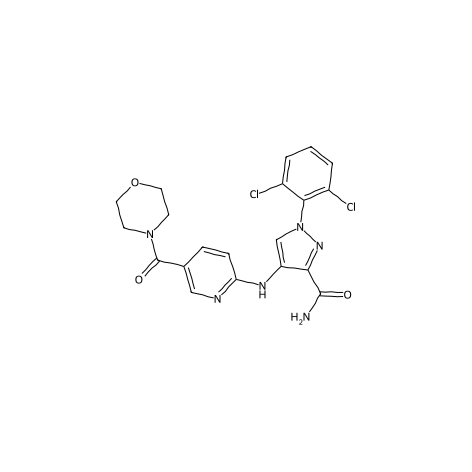 NC(=O)c1nn(-c2c(Cl)cccc2Cl)cc1Nc1ccc(C(=O)N2CCOCC2)cn1